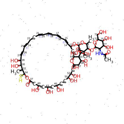 CC(=O)NC1C(OC2C(C)OC(OC3/C=C/C=C/C=C/C=C/CC/C=C/C=C/C(O)C(O)C(C)C(S)OC(=O)CC(O)CC(O)CC(O)CCC(O)C(O)CC4(O)CC(O)C(C(=O)O)C(C3)O4)C(O)C2C)OC(CO)C(O)C1O